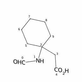 O=CNC1(CC(=O)O)CCCCC1